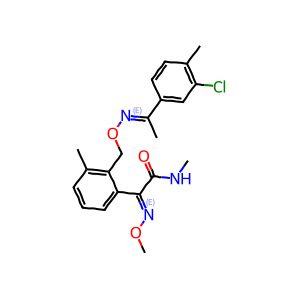 CNC(=O)/C(=N/OC)c1cccc(C)c1CO/N=C(\C)c1ccc(C)c(Cl)c1